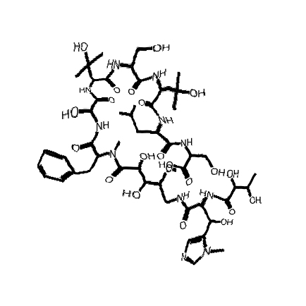 COC(CNC(=O)C(NC(=O)C(O)C(C)O)C(O)c1cncn1C)C(O)C(O)C(=O)N(C)C(Cc1ccccc1)C(=O)NC(O)C(=O)NC(C(=O)NC(CO)C(=O)NC(C(=O)NC(CC(C)C)C(=O)NC(CO)C(=O)O)C(C)(C)O)C(C)(C)O